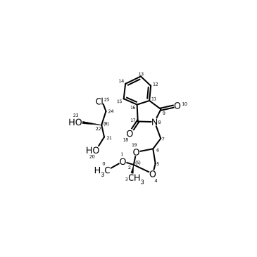 CO[C@@]1(C)OCC(CN2C(=O)c3ccccc3C2=O)O1.OC[C@@H](O)CCl